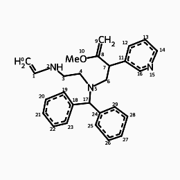 C=CNCCN(CC(C(=C)OC)c1cccnc1)C(c1ccccc1)c1ccccc1